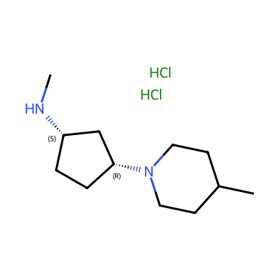 CN[C@H]1CC[C@@H](N2CCC(C)CC2)C1.Cl.Cl